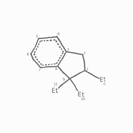 CCC1Cc2ccccc2C1(CC)CC